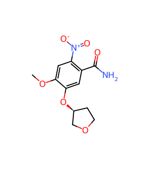 COc1cc([N+](=O)[O-])c(C(N)=O)cc1O[C@H]1CCOC1